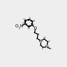 CN1CCN(CCCOc2cccc([N+](=O)[O-])c2)CC1